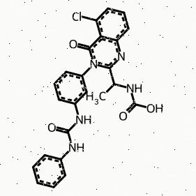 CC(NC(=O)O)c1nc2cccc(Cl)c2c(=O)n1-c1cccc(NC(=O)Nc2ccccc2)c1